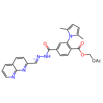 CC(=O)OCOC(=O)c1ccc(C(=O)N/N=C/c2ccc3cccnc3n2)cc1-n1c(C)ccc1C